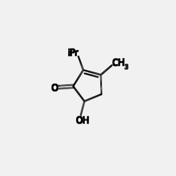 CC1=C(C(C)C)C(=O)C(O)C1